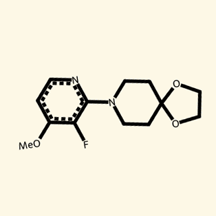 COc1ccnc(N2CCC3(CC2)OCCO3)c1F